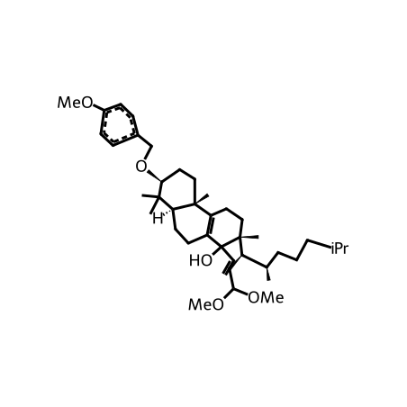 C=CC1(O)C2=C(CC[C@]1(C)[C@H](CC(OC)OC)[C@H](C)CCCC(C)C)[C@@]1(C)CC[C@H](OCc3ccc(OC)cc3)C(C)(C)[C@@H]1CC2